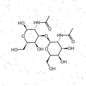 CC(=O)N[C@@H]1[C@@H](O[C@@H]2O[C@H](CO)[C@H](O)[C@H](O)[C@H]2NC(C)=O)[C@@H](O)[C@@H](CO)O[C@H]1O